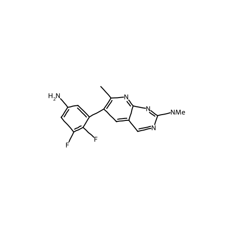 CNc1ncc2cc(-c3cc(N)cc(F)c3F)c(C)nc2n1